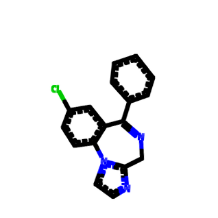 Clc1ccc2c(c1)C(c1ccccc1)=NCc1nccn1-2